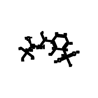 Cc1c(C(C)N[S@+]([O-])C(C)(C)C)cccc1S(C)(=O)=O